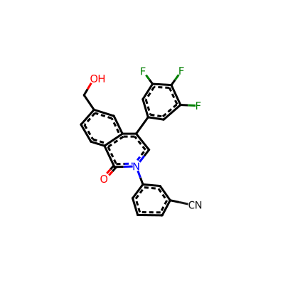 N#Cc1cccc(-n2cc(-c3cc(F)c(F)c(F)c3)c3cc(CO)ccc3c2=O)c1